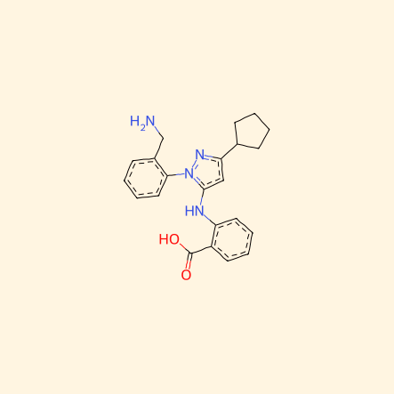 NCc1ccccc1-n1nc(C2CCCC2)cc1Nc1ccccc1C(=O)O